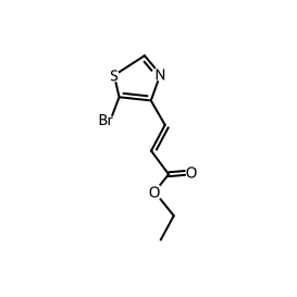 CCOC(=O)/C=C/c1ncsc1Br